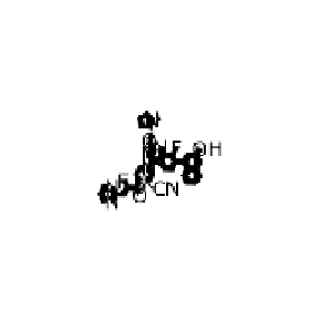 CN1CCC[C@H]1COc1nc(N2CCN(C(=O)/C(F)=C/c3ncccn3)[C@@H](CC#N)C2)c2ccc(-c3cc(O)cc4ccccc34)c(F)c2n1